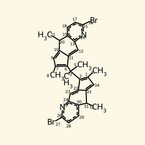 CC1=C(C(C)(C)C2=C(C)C=C3C2=Cc2nc(Br)ccc2C3C)C2=Cc3nc(Br)ccc3C(C)C2=C1